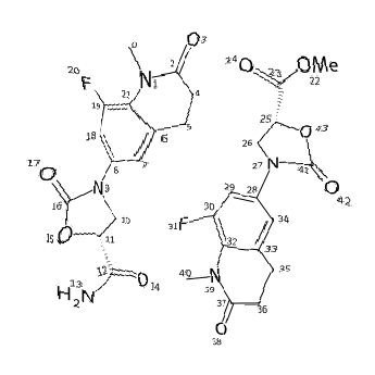 CN1C(=O)CCc2cc(N3C[C@H](C(N)=O)OC3=O)cc(F)c21.COC(=O)[C@H]1CN(c2cc(F)c3c(c2)CCC(=O)N3C)C(=O)O1